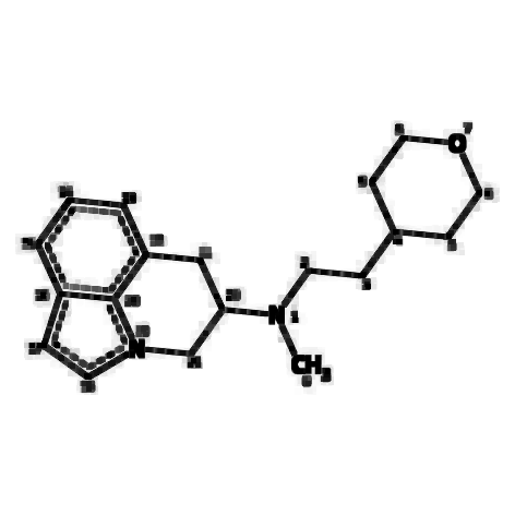 CN(CCC1CCOCC1)C1Cc2cccc3ccn(c23)C1